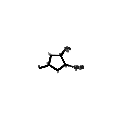 CCCC1CC(C)CC1S(=O)(=O)O